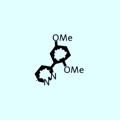 COc1ccc(OC)c(-c2cc[c]nn2)c1